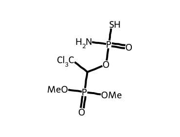 COP(=O)(OC)C(OP(N)(=O)S)C(Cl)(Cl)Cl